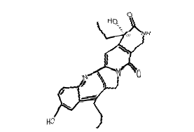 CCc1c2c(nc3ccc(O)cc13)-c1cc3c(c(=O)n1C2)CNC(=O)[C@]3(O)CC